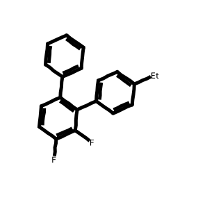 CCc1ccc(-c2c(-c3ccccc3)ccc(F)c2F)cc1